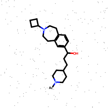 CC(=O)N1CCC(CCC(O)c2ccc3c(c2)CCN(C2CCC2)CC3)CC1